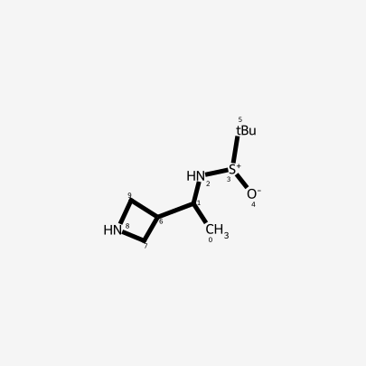 CC(N[S+]([O-])C(C)(C)C)C1CNC1